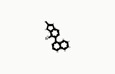 CC1=Cc2ccc(-c3cccc4ccccc34)c(Br)c2C1